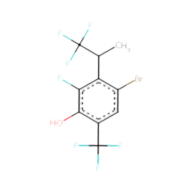 CC(c1c(Br)cc(C(F)(F)F)c(O)c1F)C(F)(F)F